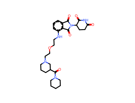 O=C1CCC(N2C(=O)c3cccc(NCCOCCN4CCCC(C(=O)N5CCCCC5)C4)c3C2=O)C(=O)N1